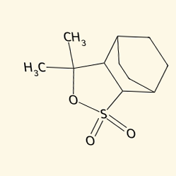 CC1(C)OS(=O)(=O)C2C3CCC(CC3)C21